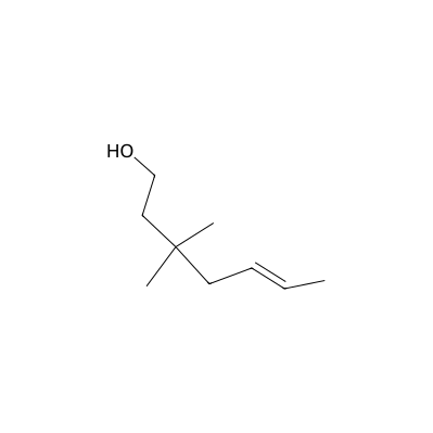 CC=CCC(C)(C)CCO